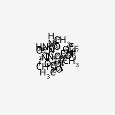 C#CCn1c(=O)n([C@@H]2O[C@H](C(C)(C)OC(=O)C(F)(F)F)[C@@H](F)[C@H]2OC(C)=O)c2nc(NC(C)=O)[nH]c(=O)c21